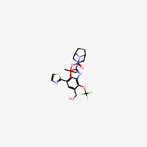 CC(C)(C)OC(=O)N1C2CCC1CN(c1nc3c(OC(F)(F)F)c(CO)cc(-c4nccs4)c3o1)C2